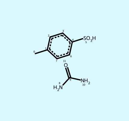 Cc1ccc(S(=O)(=O)O)cc1.NC(N)=O